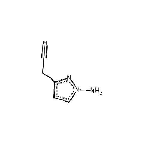 N#CCc1ccn(N)n1